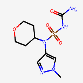 Cn1cc(N(C2CCOCC2)S(=O)(=O)NC(N)=O)cn1